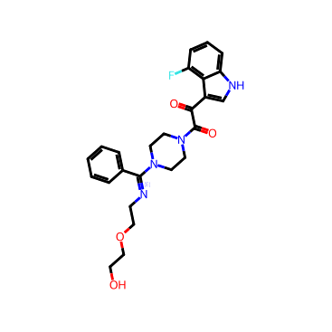 O=C(C(=O)N1CCN(/C(=N/CCOCCO)c2ccccc2)CC1)c1c[nH]c2cccc(F)c12